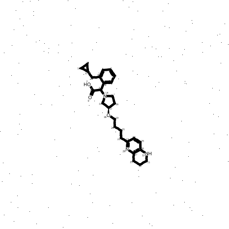 O=C(O)C(c1ccccc1CC1CC1)N1CC[C@@H](OCCCCc2ccc3c(n2)CCCN3)C1